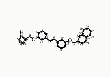 C(=C\c1cccc(OCc2nnn[nH]2)c1)/c1cccc(OCc2ccc3ccccc3n2)c1